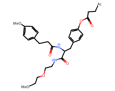 COCCOCCNC(=O)C(Cc1ccc(OC(=O)CCC(C)=O)cc1)NC(=O)CCc1ccc(OC)cc1